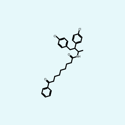 CC(NC(=O)CCCCCCCC(=O)c1ccccc1)C(Cc1ccc(Cl)cc1)c1ccc(Cl)cc1